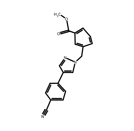 COC(=O)c1cccc(Cn2cc(-c3ccc(C#N)cc3)cn2)c1